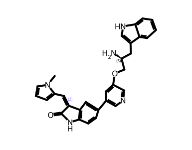 Cn1cccc1/C=C1\C(=O)Nc2ccc(-c3cncc(OC[C@@H](N)Cc4c[nH]c5ccccc45)c3)cc21